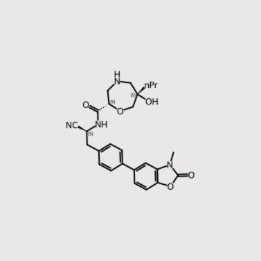 CCC[C@]1(O)CNC[C@@H](C(=O)N[C@H](C#N)Cc2ccc(-c3ccc4oc(=O)n(C)c4c3)cc2)OC1